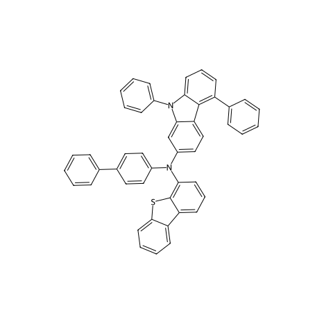 c1ccc(-c2ccc(N(c3ccc4c5c(-c6ccccc6)cccc5n(-c5ccccc5)c4c3)c3cccc4c3sc3ccccc34)cc2)cc1